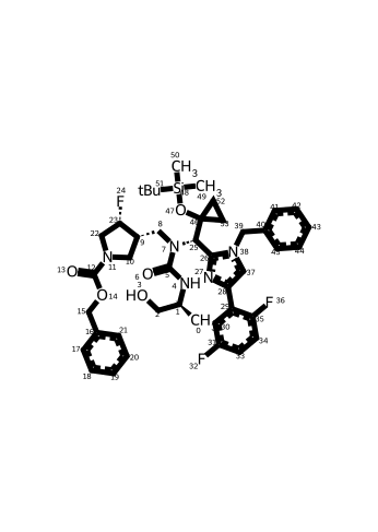 C[C@@H](CO)NC(=O)N(C[C@@H]1CN(C(=O)OCc2ccccc2)C[C@@H]1F)[C@@H](c1nc(-c2cc(F)ccc2F)cn1Cc1ccccc1)C1(O[Si](C)(C)C(C)(C)C)CC1